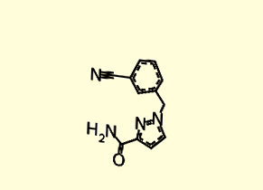 N#Cc1cccc(Cn2ccc(C(N)=O)n2)c1